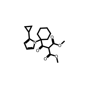 COC(=O)C(C(=O)OC)C(=O)C1(n2cccc2C2CC2)CCCCC1